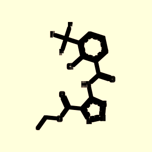 CCOC(=O)c1nnsc1NC(=O)c1cccc(C(F)(F)F)c1Cl